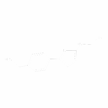 CC(C)(C)CNc1nc(-c2ccc(CN)cc2)cs1